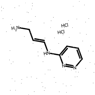 Cl.Cl.NCC=CNc1cccnn1